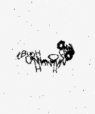 CC(C)(C)OC(=O)NNCCNC(=O)Nc1nc2c(s1)-c1c(cnn1-c1ccccc1C(F)(F)F)C2